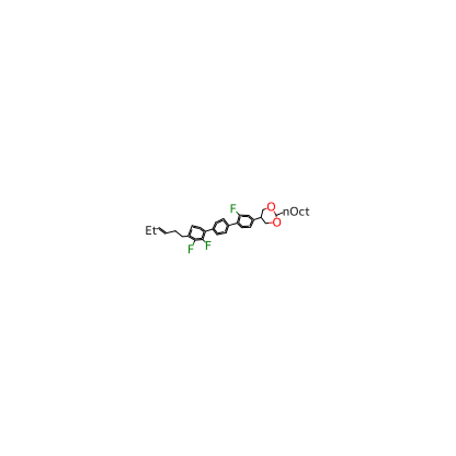 CC/C=C/CCc1ccc(-c2ccc(-c3ccc(C4COC(CCCCCCCC)OC4)cc3F)cc2)c(F)c1F